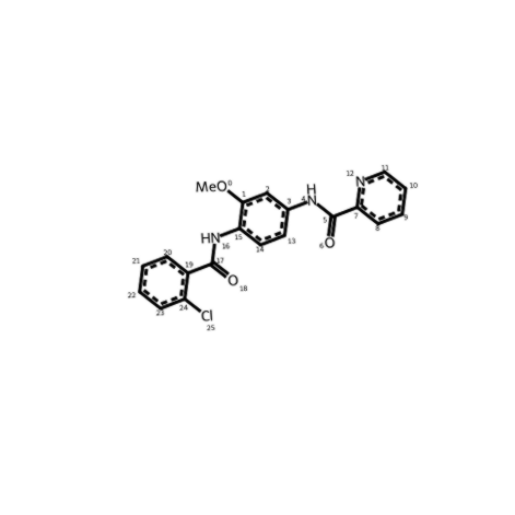 COc1cc(NC(=O)c2ccccn2)ccc1NC(=O)c1ccccc1Cl